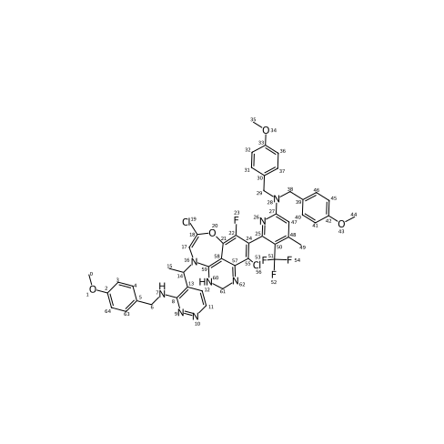 COc1ccc(CNc2nnccc2C(C)N2C=C(Cl)Oc3c(F)c(-c4nc(N(Cc5ccc(OC)cc5)Cc5ccc(OC)cc5)cc(C)c4C(F)(F)F)c(Cl)c4c3=C2NCN=4)cc1